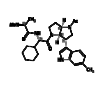 CN[C@@H](C)C(=O)N[C@H](C(=O)N1CC[C@@H]2[C@H]1[C@@H](c1c[nH]c3cc(C)ccc13)CN2C(C)=O)C1CCCCC1